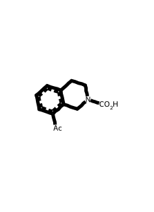 CC(=O)c1cccc2c1CN(C(=O)O)CC2